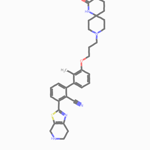 Cc1c(OCCCN2CCC3(CCCC(=O)N3)CC2)cccc1-c1cccc(-c2nc3c(s2)CNCC3)c1C#N